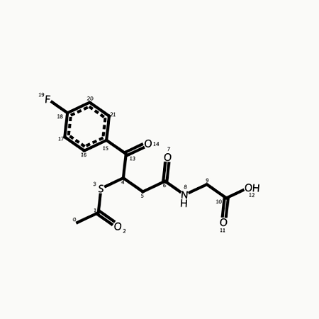 CC(=O)SC(CC(=O)NCC(=O)O)C(=O)c1ccc(F)cc1